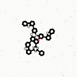 c1ccc(-c2nc(-c3ccccc3)nc(-c3cccc4oc5ccc(-c6cc7c8c(c6)Sc6cc(-c9cccc%10c9oc9ccccc9%10)ccc6N8c6ccc(-c8cccc9c8oc8ccccc89)cc6O7)cc5c34)n2)cc1